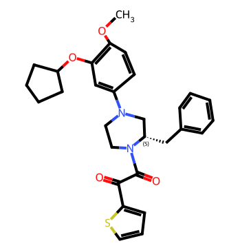 COc1ccc(N2CCN(C(=O)C(=O)c3cccs3)[C@@H](Cc3ccccc3)C2)cc1OC1CCCC1